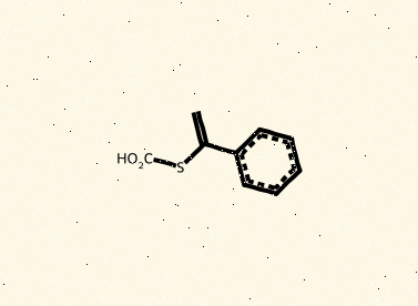 C=C(SC(=O)O)c1ccccc1